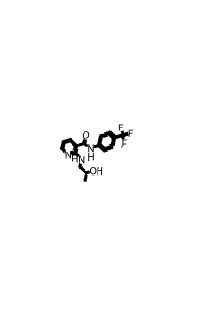 CC(O)CNc1ncccc1C(=O)Nc1ccc(C(F)(F)F)cc1